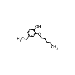 CCCCCOc1cc(CC)ccc1O